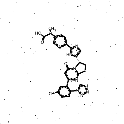 CN(C(=O)O)c1ccc(-c2ncc([C@@H]3CCc4nc(-c5cc(Cl)ccc5-n5cnnn5)cc(=O)n43)[nH]2)cc1